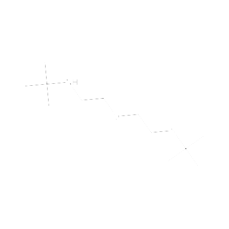 CC(C)(C)NCCOCCSC(C)(C)C